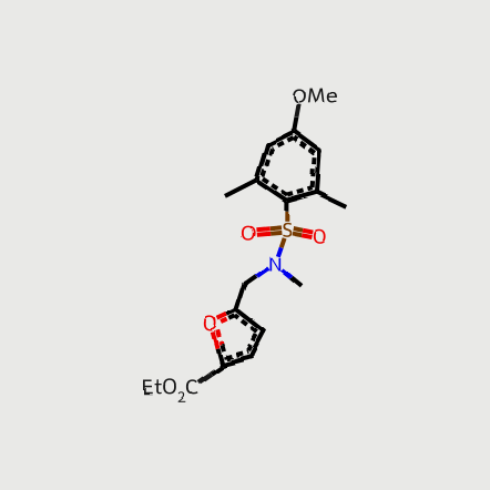 CCOC(=O)c1ccc(CN(C)S(=O)(=O)c2c(C)cc(OC)cc2C)o1